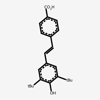 CC(C)(C)c1cc(/C=C/c2ccc(C(=O)O)cc2)cc(C(C)(C)C)c1O